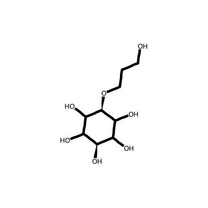 OCCCO[C@H]1C(O)C(O)[C@@H](O)C(O)C1O